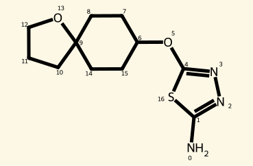 Nc1nnc(OC2CCC3(CCCO3)CC2)s1